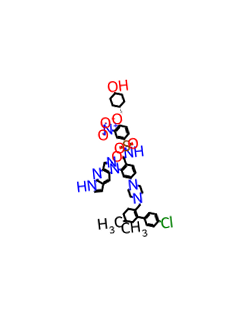 CC1(C)CCC(CN2CCN(c3ccc(C(=O)NS(=O)(=O)c4ccc(OC[C@H]5CC[C@H](O)CC5)c([N+](=O)[O-])c4)c(-n4ncc5nc6[nH]ccc6cc54)c3)CC2)=C(c2ccc(Cl)cc2)C1